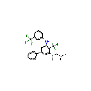 CC(C)CC(C)c1cc(-c2ccccc2)cc(Nc2cccc(C(F)(F)F)c2)c1C(F)(F)F